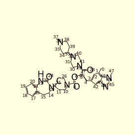 Cc1cc(C[C@@H](OC(=O)N2CCC(N3CCc4ccccc4NC3=O)CC2)C(=O)N2CCN(C3CCN(C)CC3)CC2)cc2ncn(C)c12